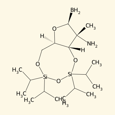 B[C@@H]1O[C@@H]2CO[Si](C(C)C)(C(C)C)O[Si](C(C)C)(C(C)C)O[C@H]2[C@@]1(C)N